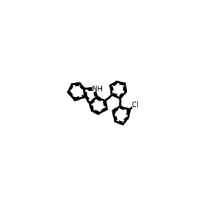 Clc1ccccc1-c1ccccc1-c1cccc2c1[nH]c1ccccc12